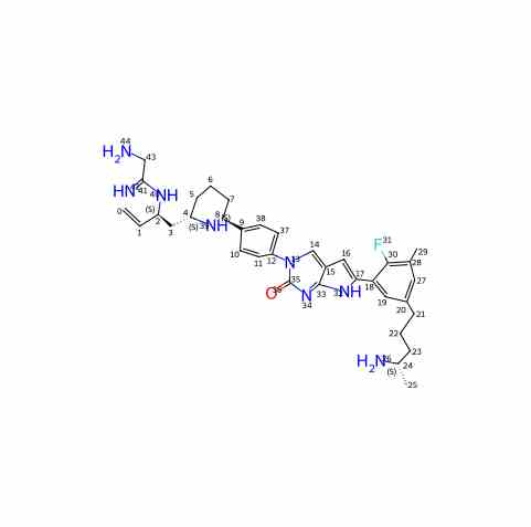 C=C[C@H](C[C@@H]1CCC[C@@H](c2ccc(-n3cc4cc(-c5cc(CCC[C@H](C)N)cc(C)c5F)[nH]c4nc3=O)cc2)N1)NC(=N)CN